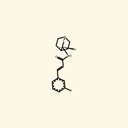 O=C(C=Cc1cccc(F)c1)N[C@H]1CN2CCC1CC2